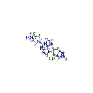 CNC1(F)CCN(c2nc3ncc(-c4ccc5nn(C)cc5c4Cl)c-3c3n2CC=N3)CC1